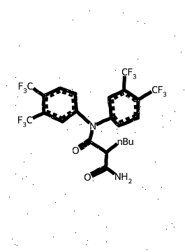 CCCCC(C(N)=O)C(=O)N(c1ccc(C(F)(F)F)c(C(F)(F)F)c1)c1ccc(C(F)(F)F)c(C(F)(F)F)c1